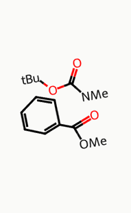 CNC(=O)OC(C)(C)C.COC(=O)c1ccccc1